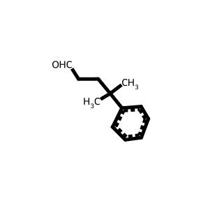 CC(C)(CCC=O)c1ccccc1